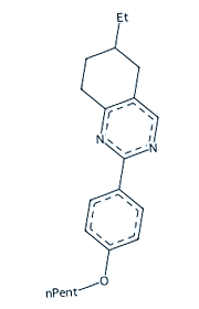 CCCCCOc1ccc(-c2ncc3c(n2)CCC(CC)C3)cc1